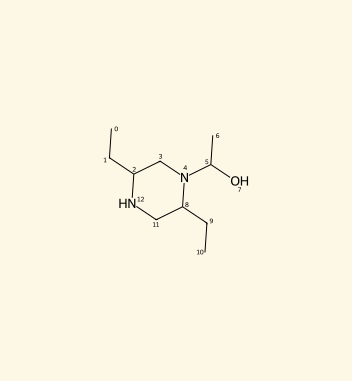 CCC1CN(C(C)O)C(CC)CN1